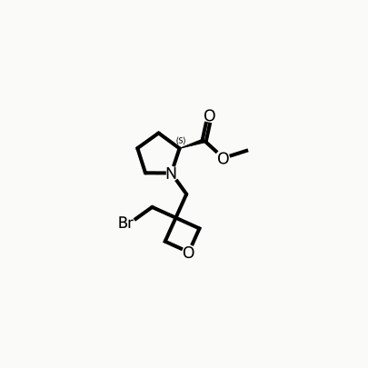 COC(=O)[C@@H]1CCCN1CC1(CBr)COC1